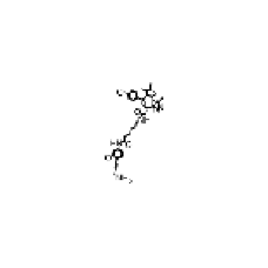 COc1cc(NC(=O)CCCCCNC(=O)C[C@@H]2N=C(c3ccc(Cl)cc3)c3c(sc(C)c3C)-n3c(C)nnc32)ccc1C#CCN